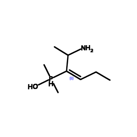 CC/C=C(\C(C)N)[PH](C)(C)O